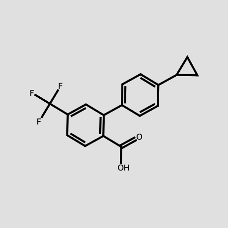 O=C(O)c1ccc(C(F)(F)F)cc1-c1ccc(C2CC2)cc1